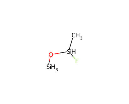 C[SiH](F)O[SiH3]